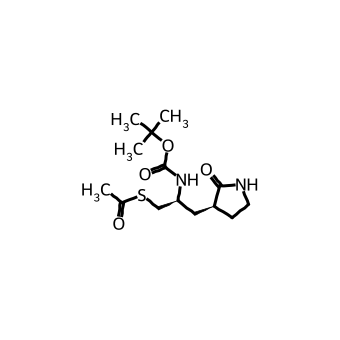 CC(=O)SC[C@H](C[C@@H]1CCNC1=O)NC(=O)OC(C)(C)C